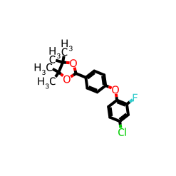 CC1(C)OC(c2ccc(Oc3ccc(Cl)cc3F)cc2)OC1(C)C